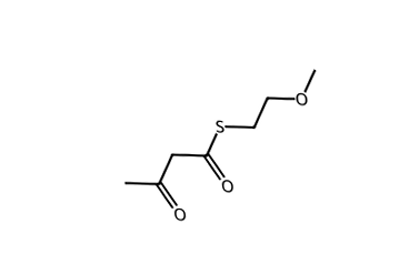 COCCSC(=O)CC(C)=O